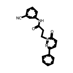 N#Cc1cccc(NC(=O)CCn2nc(-c3ccccc3)ccc2=O)c1